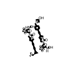 CN(C)C[C@@H]1CC1C#CC#Cc1cc2n(c1)C(=O)N(CC[C@](C)(C(=O)NO)S(C)(=O)=O)C2.C[C@@](CCN1Cc2cc(C#Cc3ccc(CN4CC(O)C4)cc3)cn2C1=O)(C(=O)NO)S(C)(=O)=O